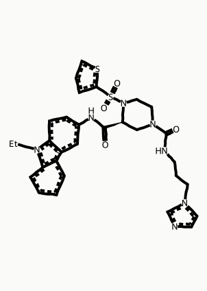 CCn1c2ccccc2c2cc(NC(=O)[C@@H]3CN(C(=O)NCCCn4ccnc4)CCN3S(=O)(=O)c3cccs3)ccc21